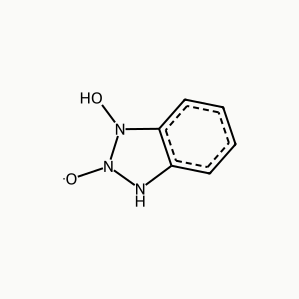 [O]N1Nc2ccccc2N1O